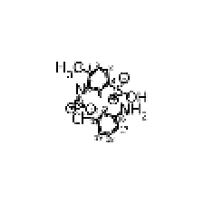 Cc1ccc(S(=O)(=O)O)cc1N=S(=O)=O.Nc1cccc(Cl)c1